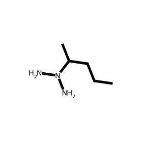 CCCC(C)N(N)N